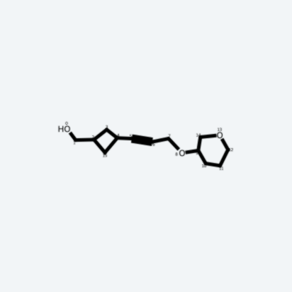 OCC1CC(C#CCOC2CCCOC2)C1